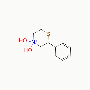 O[N+]1(O)CCSC(c2ccccc2)C1